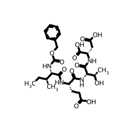 CC[C@H](C)[C@H](NC(=O)OCc1ccccc1)C(=O)N[C@@H](CCC(=O)O)C(=O)N[C@H](C(=O)N[C@@H](CC(=O)O)C(=O)O)[C@@H](C)O